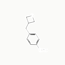 O=Cc1ccc(CC2COC2)cc1